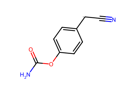 N#C[CH]c1ccc(OC(N)=O)cc1